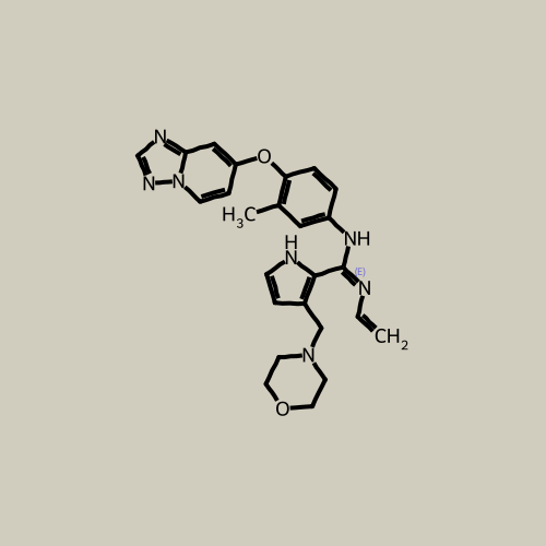 C=C/N=C(/Nc1ccc(Oc2ccn3ncnc3c2)c(C)c1)c1[nH]ccc1CN1CCOCC1